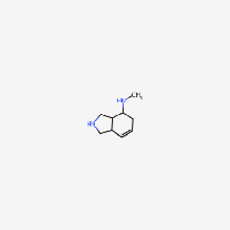 CNC1CC=CC2CNCC21